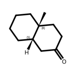 C[C@]12CCCC[C@H]1CC(=O)CC2